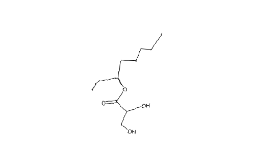 CCCCCC(CC)OC(=O)C(O)CO